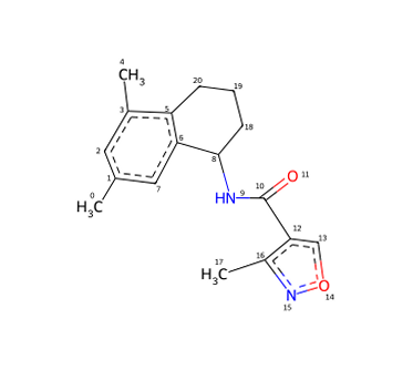 Cc1cc(C)c2c(c1)C(NC(=O)c1conc1C)CCC2